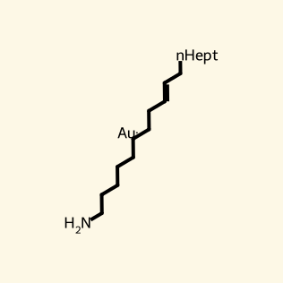 CCCCCCCCC=CCCCCCCCCN.[Au]